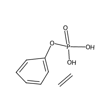 C=C.O=P(O)(O)Oc1ccccc1